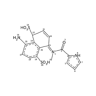 C[N+](C(=O)c1ccc[nH]1)=C1C=CC(S(=O)(=O)O)c2c(N)ccc(S(=O)(=O)O)c21